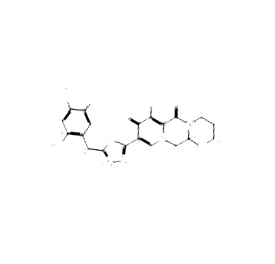 Cc1c2n(cc(-c3nnc(Cc4cc(F)c(F)cc4F)s3)c1=O)CC1OCCCN1C2=O